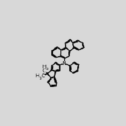 CC1(C)c2ccccc2-c2cc(N(c3ccccc3)c3cc4c5ccccc5ccc4c4ccccc34)ccc21